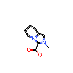 Cn1cc2cccc[n+]2c1C(=O)[O-]